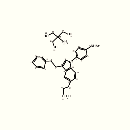 CC(=O)Nc1ccc(-n2cc(CCc3ccccc3)c3cc(CCC(=O)O)ccc32)cc1.NC(CO)(CO)CO